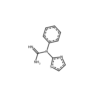 N=C(N)N(c1ccccc1)c1nccs1